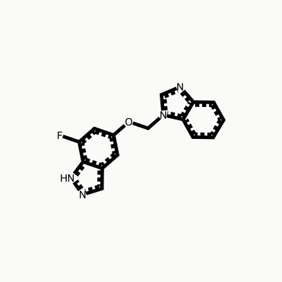 Fc1cc(OCn2cnc3ccccc32)cc2cn[nH]c12